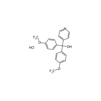 Cl.OC(c1ccncc1)(c1ccc(OC(F)(F)F)cc1)c1ccc(OC(F)(F)F)cc1